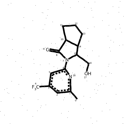 Cc1cc(C(F)(F)F)cc(N2C(=O)C3CCCC3C2CO)n1